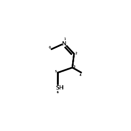 C/N=C\C(C)CS